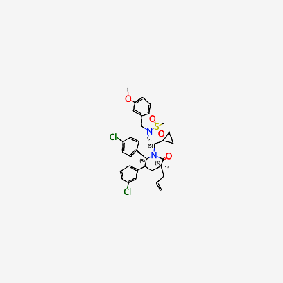 C=CC[C@@]1(C)CC(c2cccc(Cl)c2)[C@@H](c2ccc(Cl)cc2)N([C@H](CN(Cc2cccc(OC)c2)S(C)(=O)=O)C2CC2)C1=O